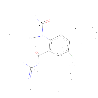 CC(C)(C)N(C(N)=O)c1ccc(Cl)cc1C(=O)NC(=N)N.Cl